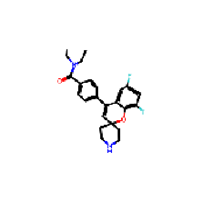 CCN(CC)C(=O)c1ccc(C2=CC3(CCNCC3)Oc3c(F)cc(F)cc32)cc1